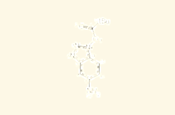 CC(C)(C)C(=O)On1nnc2cc(N)ccc21